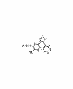 CC(=O)Nc1nc(-c2ccco2)c(-c2ccncc2)nc1C#N